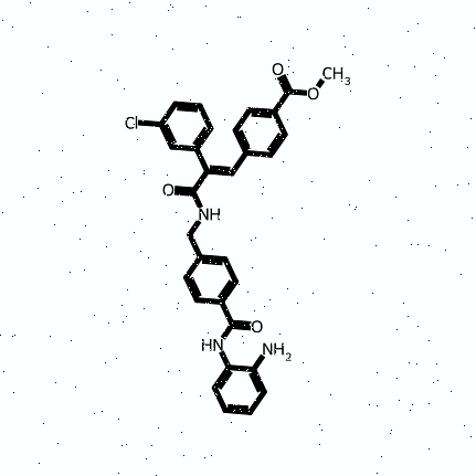 COC(=O)c1ccc(/C=C(/C(=O)NCc2ccc(C(=O)Nc3ccccc3N)cc2)c2cccc(Cl)c2)cc1